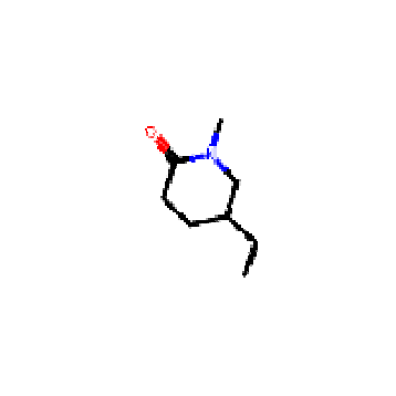 CCC1CCC(=O)N(C)C1